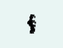 CC1CC(OC[C@H]2COc3cnc(Nc4ccc(NC=N)c(F)c4)nc3N2C)C1